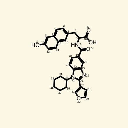 O=C(NC(Cc1ccc2cc(O)ccc2c1)C(=O)O)c1ccc2c(c1)nc(-c1ccoc1)n2C1CCCCC1